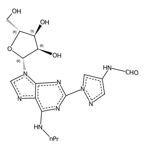 CCCNc1nc(-n2cc(NC=O)cn2)nc2c1ncn2[C@@H]1O[C@H](CO)[C@@H](O)[C@H]1O